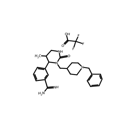 CC1CNC(=O)N(CC2CCN(Cc3ccccc3)CC2)C1c1cccc(C(=N)N)c1.O=C(O)C(F)(F)F